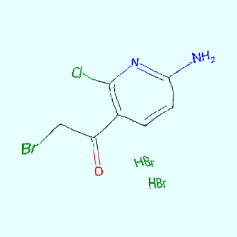 Br.Br.Nc1ccc(C(=O)CBr)c(Cl)n1